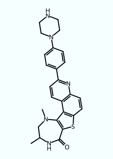 CC1CN(C)c2c(sc3ccc4nc(-c5ccc(N6CCNCC6)cc5)ccc4c23)C(=O)N1